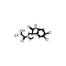 CC[C@H](O)C(=O)N1CC[C@]2(C1)C(=O)Nc1cc(Cl)c(Cl)cc12